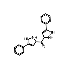 O=C(C1C=C(c2ccccc2)NN1)C1C=C(c2ccccc2)NN1